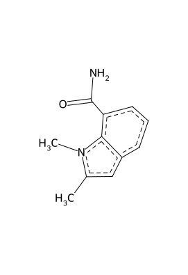 Cc1cc2cccc(C(N)=O)c2n1C